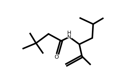 C=C(C)C(CC(C)C)NC(=O)CC(C)(C)C